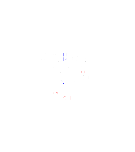 COc1cc2c(Cc3cccc(C(=O)O)n3)c(-c3ccccc3)[nH]c2cc1C